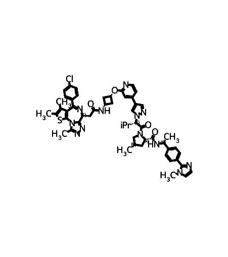 Cc1sc2c(c1C)C(c1ccc(Cl)cc1)=N[C@@H](CC(=O)N[C@H]1C[C@@H](Oc3cc(-c4cnn([C@H](C(=O)N5C[C@H](C)C[C@H]5C(=O)N[C@@H](C)c5ccc(-c6nccn6C)cc5)C(C)C)c4)ccn3)C1)c1nnc(C)n1-2